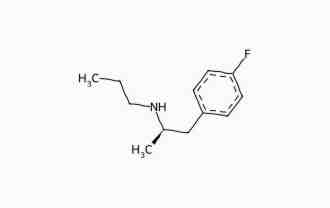 CCCN[C@H](C)Cc1ccc(F)cc1